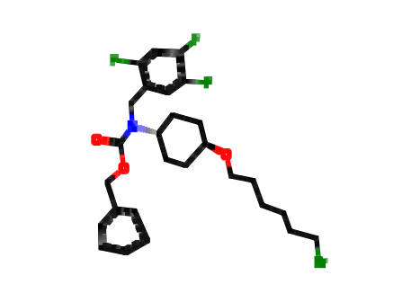 O=C(OCc1ccccc1)N(Cc1cc(F)c(F)cc1F)[C@H]1CC[C@H](OCCCCCCBr)CC1